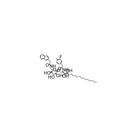 CCCCCCCCCCCCCC[C@@H](O)[C@@H](O)[C@H](CO[C@H]1OC(CNC(=O)Cc2ccc3ccccc3c2)[C@H](O)C(O)[C@@H]1O)NC(=O)Cc1ccc(C)c(F)c1